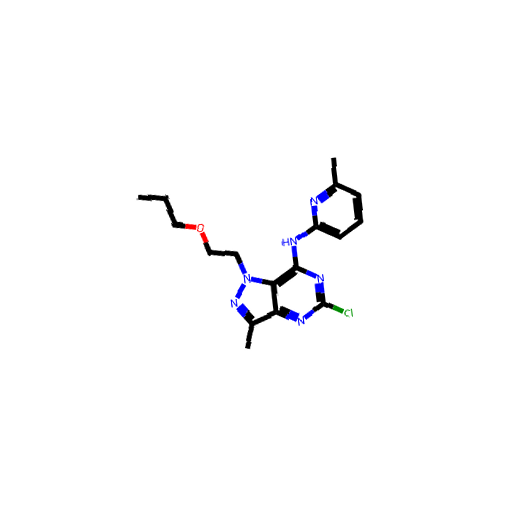 CCCOCCn1nc(C)c2nc(Cl)nc(Nc3cccc(C)n3)c21